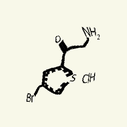 Cl.NCC(=O)c1cc(Br)cs1